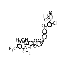 COc1cc2nc(C)nc(N[C@H](C)c3cc([N+](=O)[O-])cc(C(F)(F)F)c3)c2cc1OC1CCN(CC2CCC3(CC2)CCN(C(=O)c2ccc(Cl)c(N4CCC(=O)NC4=O)c2)CC3)CC1